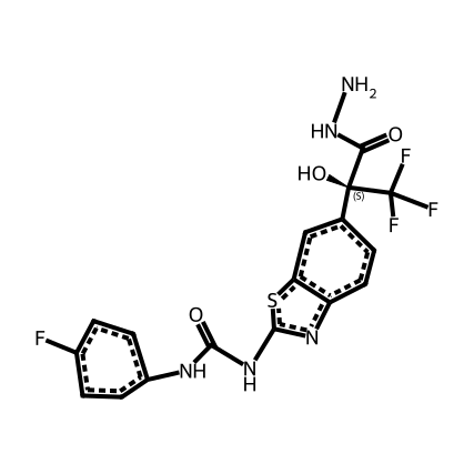 NNC(=O)[C@@](O)(c1ccc2nc(NC(=O)Nc3ccc(F)cc3)sc2c1)C(F)(F)F